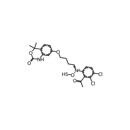 CC(=O)c1c([N+](=CCCCOc2ccc3c(c2)NC(=O)OC3(C)C)OS)ccc(Cl)c1Cl